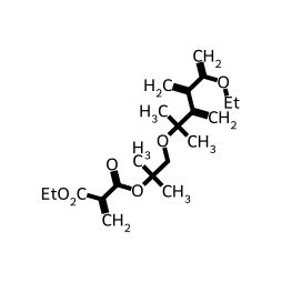 C=C(OCC)C(=C)C(=C)C(C)(C)OCC(C)(C)OC(=O)C(=C)C(=O)OCC